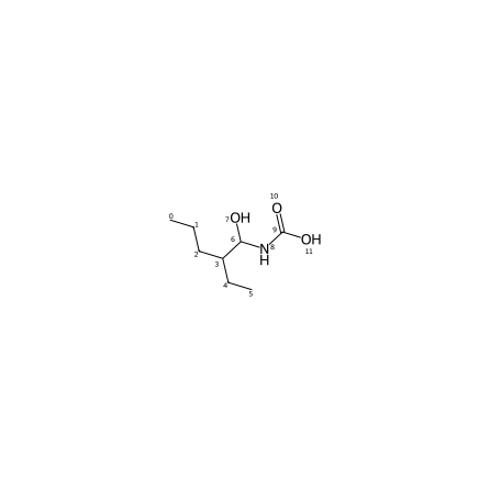 CCCC(CC)C(O)NC(=O)O